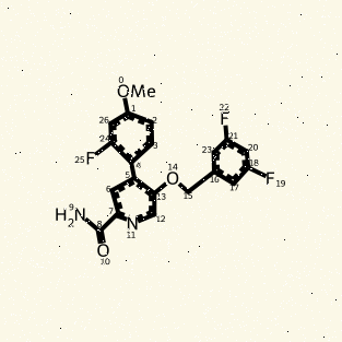 COc1ccc(-c2cc(C(N)=O)ncc2OCc2cc(F)cc(F)c2)c(F)c1